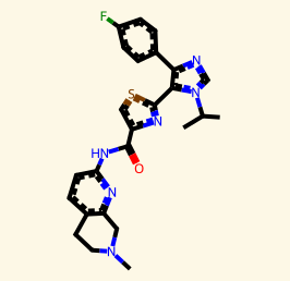 CC(C)n1cnc(-c2ccc(F)cc2)c1-c1nc(C(=O)Nc2ccc3c(n2)CN(C)CC3)cs1